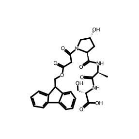 C[C@H](NC(=O)[C@@H]1C[C@@H](O)CN1C(=O)CC(=O)OCC1c2ccccc2-c2ccccc21)C(=O)N[C@@H](CO)C(=O)O